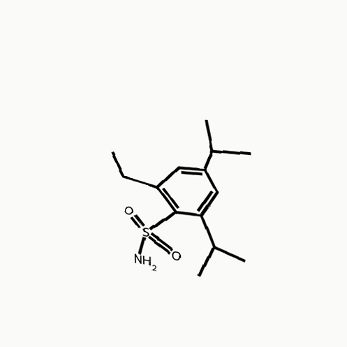 CCc1cc(C(C)C)cc(C(C)C)c1S(N)(=O)=O